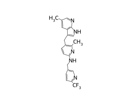 Cc1cnc2[nH]cc(Cc3ccc(NCc4ccc(C(F)(F)F)nc4)nc3C)c2c1